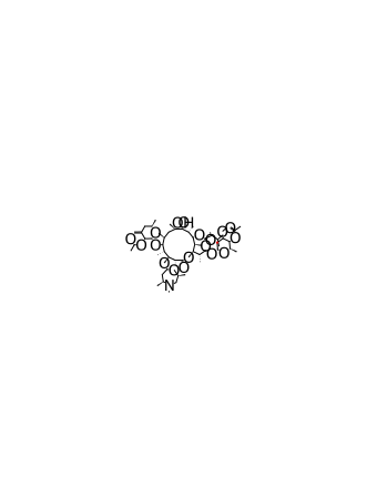 C=C1C[C@@H](C)O[C@@H](O[C@@H]2[C@@H](C)[C@H](O[C@H]3C[C@H](C)N(C)C[C@H](C)O3)[C@@H](C)C(=O)O[C@H]([C@@H](C)CO[C@@H]3O[C@H](C)[C@@H](OC(C)=O)[C@@H](OC)[C@H]3OC)[C@H](C)[C@@H](OC(=O)CC(C)C)[C@@H](C)C(=O)[C@@](C)(O)C[C@@H]2C)[C@@H]1OC(C)=O